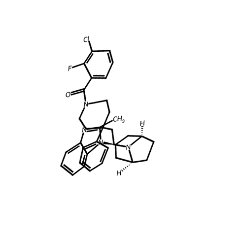 Cc1nc2ccccc2n1[C@H]1C[C@H]2CC[C@@H](C1)N2CCC1(c2ccccc2)CCN(C(=O)c2cccc(Cl)c2F)CC1